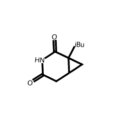 CCC(C)C12CC1CC(=O)NC2=O